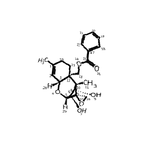 CC1=C[C@H]2O[C@@H]3[C@H](O)[C@@H](O)[C@](C)([C@@]2(COC(=O)c2ccccc2)CC1)[C@]31CO1